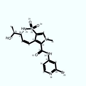 C[C@H](O)[C@H]1C=Cc2c(cn(C)c2C(=O)Nc2ccnc(Br)c2)S(=O)(=O)N1